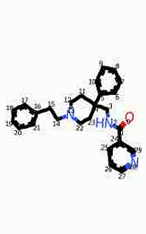 O=C(NCC1(c2ccccc2)CCN(CCc2ccccc2)CC1)c1cccnc1